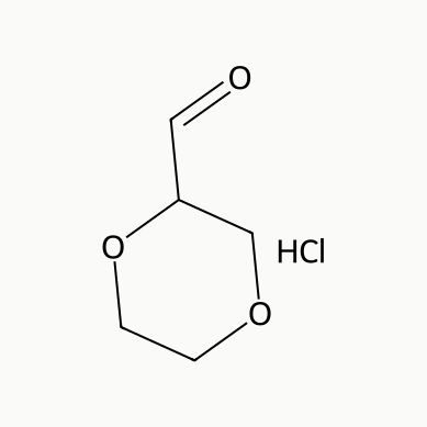 Cl.O=CC1COCCO1